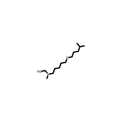 CC(C)CCCOCCCCCN(C)CS